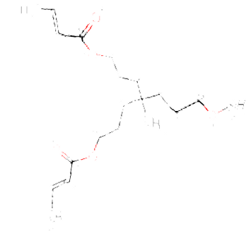 CC=CC(=O)OCCCC(C)(CCCO[SiH3])CCCOC(=O)C=CC